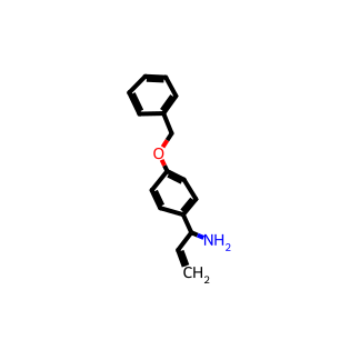 C=CC(N)c1ccc(OCc2ccccc2)cc1